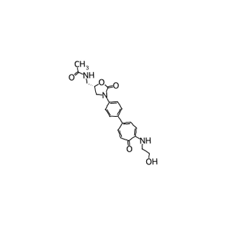 CC(=O)NC[C@H]1CN(c2ccc(-c3ccc(NCCO)c(=O)cc3)cc2)C(=O)O1